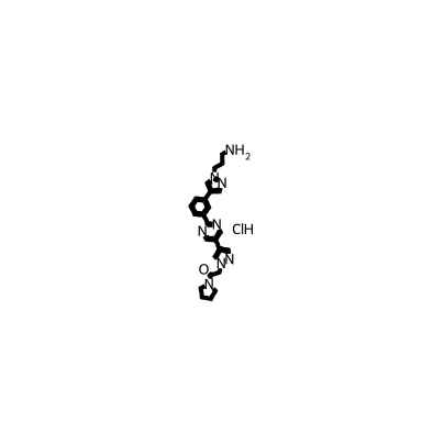 Cl.NCCCn1cc(-c2cccc(-c3ncc(-c4cnn(CC(=O)N5CCCC5)c4)cn3)c2)cn1